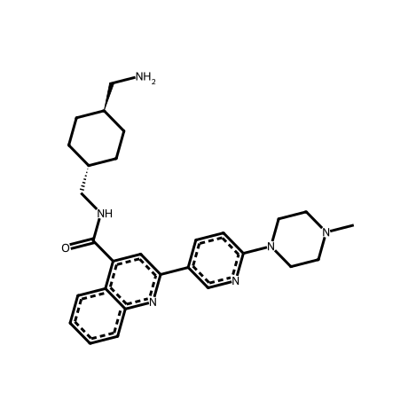 CN1CCN(c2ccc(-c3cc(C(=O)NC[C@H]4CC[C@H](CN)CC4)c4ccccc4n3)cn2)CC1